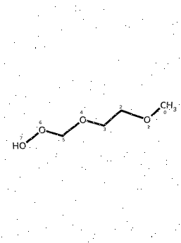 COCCOCOO